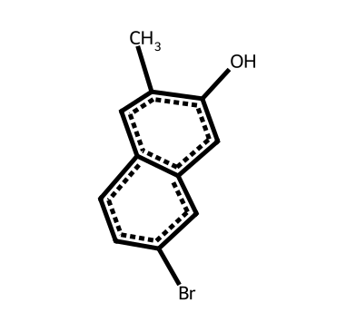 Cc1cc2ccc(Br)cc2cc1O